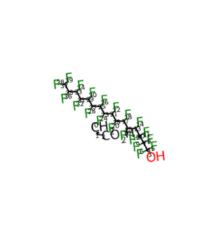 C=CC(=O)O.OC(F)(F)C(F)(F)C(F)(F)C(F)C(F)C(F)C(F)C(F)C(F)C(F)C(F)C(F)C(F)C(F)C(F)C(F)F